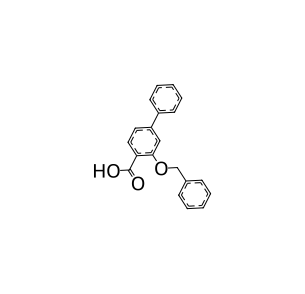 O=C(O)c1ccc(-c2ccccc2)cc1OCc1ccccc1